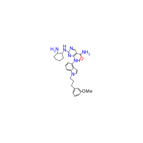 COc1cccc(CCCn2ccc3c(Nc4nc(NC5CCCCC5N)ncc4C(N)=O)cccc32)c1